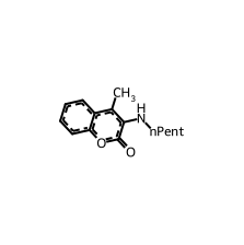 CCCCCNc1c(C)c2ccccc2oc1=O